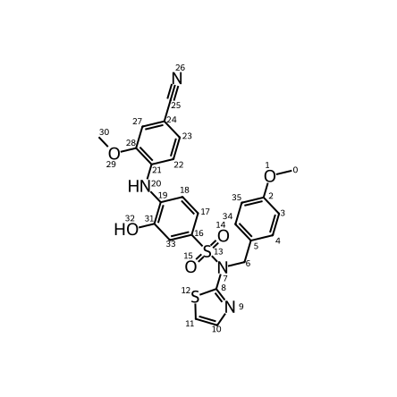 COc1ccc(CN(c2nccs2)S(=O)(=O)c2ccc(Nc3ccc(C#N)cc3OC)c(O)c2)cc1